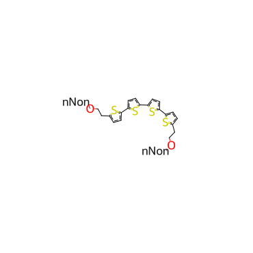 CCCCCCCCCOCCc1ccc(-c2ccc(-c3ccc(-c4ccc(CCOCCCCCCCCC)s4)s3)s2)s1